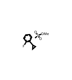 COS(C)(=O)=O.Fc1ccccc1C1CC1